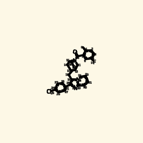 Cc1ccc(F)cc1C(=O)N1CC2CCC1CN2Cc1c(-c2ccc(Cl)cc2)nc2ccccn12